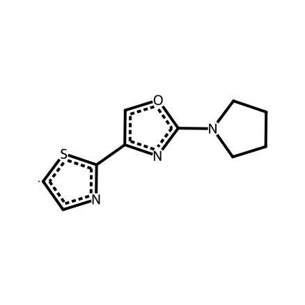 [c]1cnc(-c2coc(N3CCCC3)n2)s1